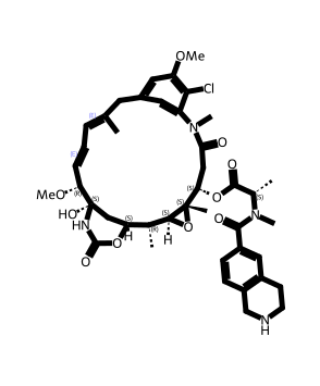 COc1cc2cc(c1Cl)N(C)C(=O)C[C@H](OC(=O)[C@H](C)N(C)C(=O)c1ccc3c(c1)CCNC3)[C@]1(C)O[C@H]1[C@H](C)[C@@H]1C[C@@](O)(NC(=O)O1)[C@H](OC)/C=C/C=C(\C)C2